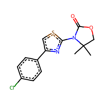 CC1(C)COC(=O)N1c1nc(-c2ccc(Cl)cc2)cs1